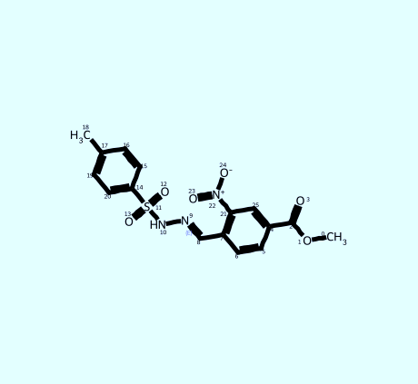 COC(=O)c1ccc(/C=N/NS(=O)(=O)c2ccc(C)cc2)c([N+](=O)[O-])c1